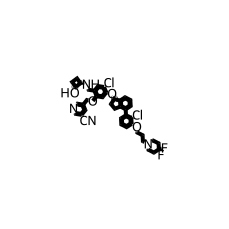 N#Cc1cncc(COc2cc(O[C@H]3CCc4c(-c5cccc(OCCCN6CCC(F)(F)CC6)c5Cl)cccc43)c(Cl)cc2CN[C@@H]2CC[C@H]2O)c1